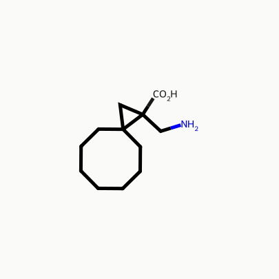 NCC1(C(=O)O)CC12CCCCCCC2